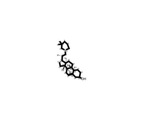 C[C@H](CN1CCCC(C)(C)C1)[C@H]1CC[C@H]2[C@@H]3CC=C4CC(O)CC[C@]4(C)[C@H]3CC[C@]12C